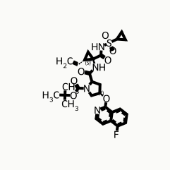 C=C[C@@H]1C[C@]1(NC(=O)C1C[C@@H](Oc2nccc3c(F)cccc23)CN1C(=O)OC(C)(C)C)C(=O)NS(=O)(=O)C1CC1